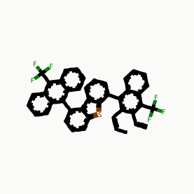 C=Cc1c(/C=C\C)c(-c2cccc3c2sc2cccc(-c4c5ccccc5c(C(F)(F)F)c5ccccc45)c23)c2ccccc2c1C(F)(F)F